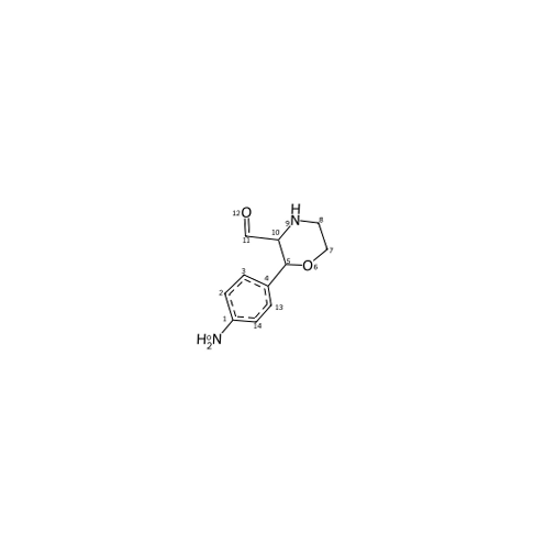 Nc1ccc(C2OCCNC2C=O)cc1